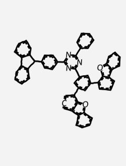 c1ccc(-c2nc(-c3ccc(C4c5ccccc5-c5ccccc54)cc3)nc(-c3cc(-c4cccc5c4oc4ccccc45)cc(-c4cccc5c4oc4ccccc45)c3)n2)cc1